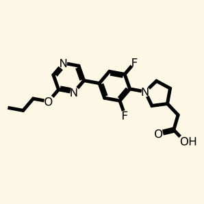 CCCOc1cncc(-c2cc(F)c(N3CCC(CC(=O)O)C3)c(F)c2)n1